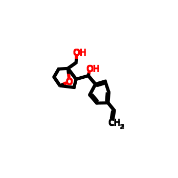 C=Cc1ccc(C(O)C2CC3CCC2(CO)O3)cc1